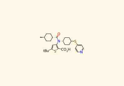 CC(C)(C)c1cc(N(C(=O)[C@H]2CC[C@H](C)CC2)[C@H]2CC[C@H](Sc3ccncc3)CC2)c(C(=O)O)s1